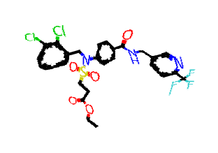 CCOC(=O)CCS(=O)(=O)N(Cc1cccc(Cl)c1Cl)c1ccc(C(=O)NCc2ccc(C(F)(F)F)nc2)cc1